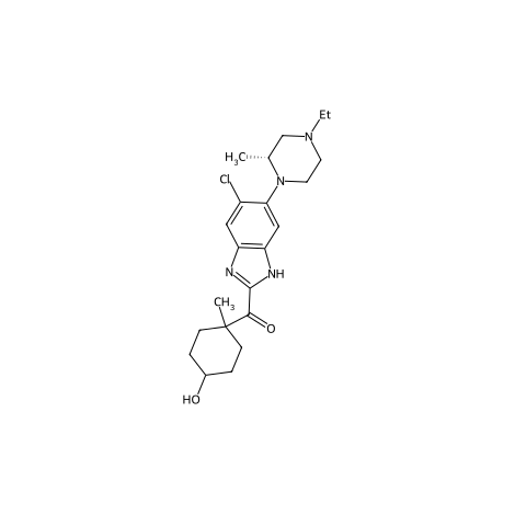 CCN1CCN(c2cc3[nH]c(C(=O)C4(C)CCC(O)CC4)nc3cc2Cl)[C@H](C)C1